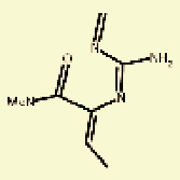 C=N/C(N)=N\C(=C/C)C(=O)NC